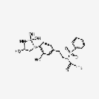 NC(=O)N(CCc1ccc(N2CC(O)NS2(O)O)c(O)c1)S(=O)(=O)c1ccccc1